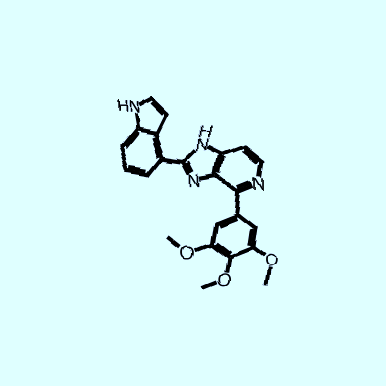 COc1cc(-c2nccc3[nH]c(-c4cccc5[nH]ccc45)nc23)cc(OC)c1OC